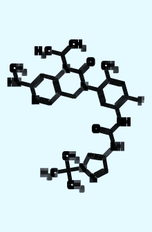 CNc1cc2c(cn1)CN(c1cc(NC(=O)Nc3cnn(C(C)(C)C)c3)c(F)cc1C)C(=O)N2C(C)C